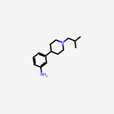 C[C](C)CN1CCC(c2cccc(N)c2)CC1